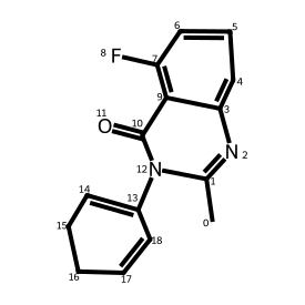 Cc1nc2cccc(F)c2c(=O)n1C1=CCCC=C1